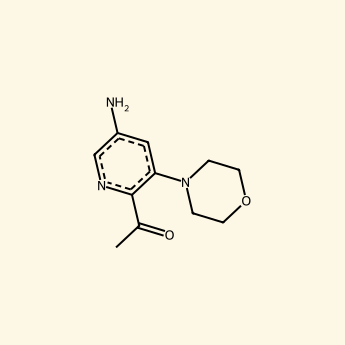 CC(=O)c1ncc(N)cc1N1CCOCC1